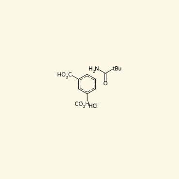 CC(C)(C)C(N)=O.Cl.O=C(O)c1cccc(C(=O)O)c1